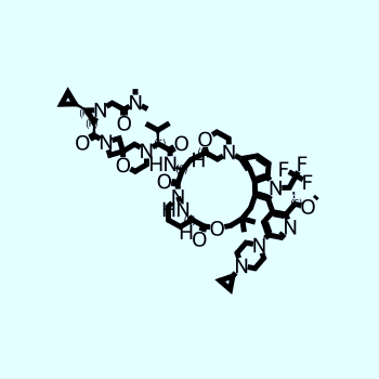 CO[C@@H](C)c1ncc(N2CCN(C3CC3)CC2)cc1-c1c2c3cc(ccc3n1CC(F)(F)F)N1CCO[C@@H](C[C@H](NC(=O)[C@H](C(C)C)N3CCOC4(CN(C(=O)[C@H]5[C@@H](C6CC6)N5CC(=O)N(C)C)C4)C3)C(=O)N3CCC[C@H](N3)C(=O)OCC(C)(C)C2)C1